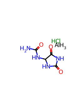 Cl.NC(=O)NC1NC(=O)NC1=O.[AlH3]